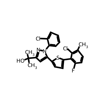 Cc1ccc(F)c(-c2ccc(-c3cc(C(C)(C)O)nn3-c3ccccc3Cl)s2)c1Cl